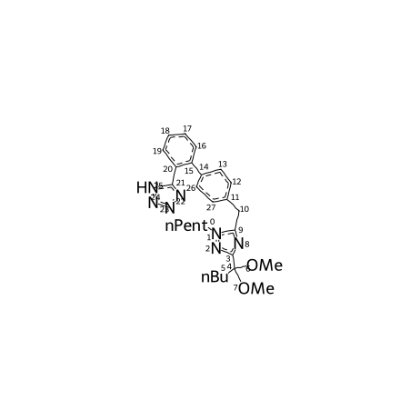 CCCCCn1nc(C(CCCC)(OC)OC)nc1Cc1ccc(-c2ccccc2-c2nnn[nH]2)cc1